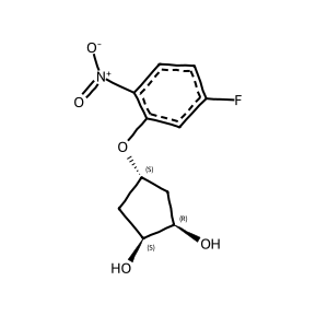 O=[N+]([O-])c1ccc(F)cc1O[C@@H]1C[C@@H](O)[C@@H](O)C1